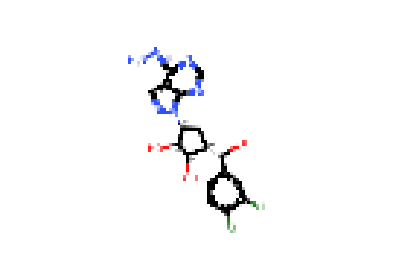 N/N=c1/nc[nH]c2c1cnn2[C@@H]1C[C@H](C(O)c2ccc(Cl)c(Cl)c2)[C@@H](O)[C@H]1O